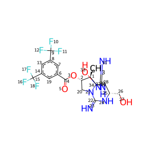 C[C@@H]1[C@@H](OC(=O)c2cc(C(F)(F)F)cc(C(F)(F)F)c2)CN2C(=N)N[C@@H](CO)C3NC(=N)N(O)C312